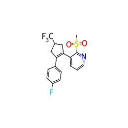 CS(=O)(=O)c1ncccc1C1=C(c2ccc(F)cc2)CC(C(F)(F)F)C1